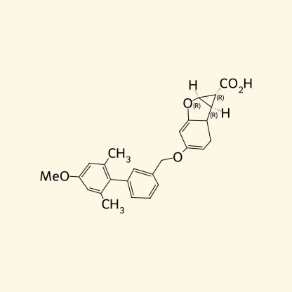 COc1cc(C)c(-c2cccc(COC3=CCC4C(=C3)O[C@H]3[C@H](C(=O)O)[C@@H]43)c2)c(C)c1